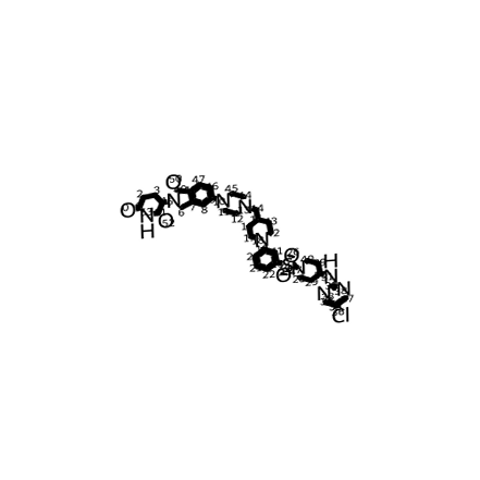 O=C1CCC(N2Cc3cc(N4CCN(CC5CCN(c6cccc(S(=O)(=O)N7CCC(Nc8ncc(Cl)cn8)CC7)c6)CC5)CC4)ccc3C2=O)C(=O)N1